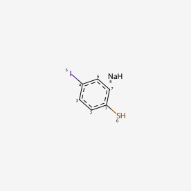 Sc1ccc(I)cc1.[NaH]